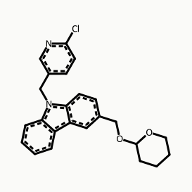 Clc1ccc(Cn2c3ccccc3c3cc(COC4CCCCO4)ccc32)cn1